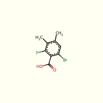 Cc1cc(Br)c(C(=O)O)c(F)c1C